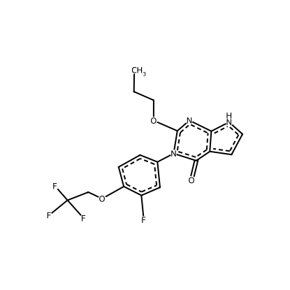 CCCOc1nc2[nH]ccc2c(=O)n1-c1ccc(OCC(F)(F)F)c(F)c1